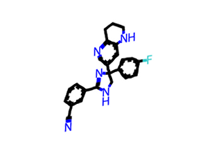 N#Cc1cccc(C2=NC(c3ccc(F)cc3)(c3cnc4c(c3)NCCC4)CN2)c1